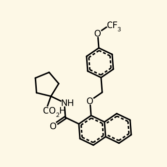 O=C(NC1(C(=O)O)CCCC1)c1ccc2ccccc2c1OCc1ccc(OC(F)(F)F)cc1